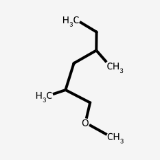 CCC(C)CC(C)COC